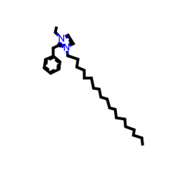 CCCCCCCCCCCCCCCCCCCn1cc[n+](CC)c1Cc1ccccc1